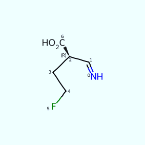 N=C[C@@H](CCF)C(=O)O